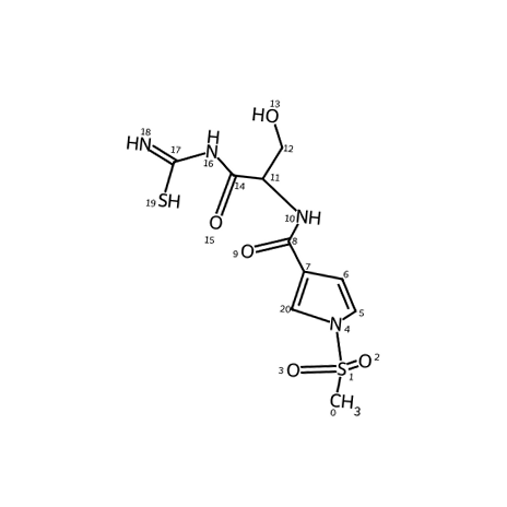 CS(=O)(=O)n1ccc(C(=O)NC(CO)C(=O)NC(=N)S)c1